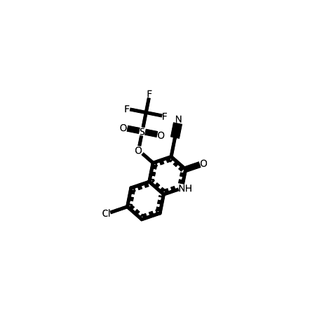 N#Cc1c(OS(=O)(=O)C(F)(F)F)c2cc(Cl)ccc2[nH]c1=O